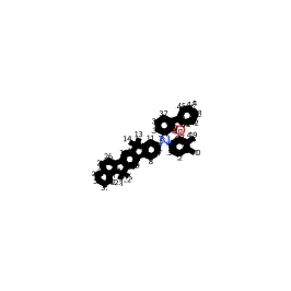 Cc1ccc(N(c2ccc3c(c2)C(C)(C)c2cc4c(cc2-3)C(C)(C)c2c-4ccc3ccccc23)c2cccc3c2oc2ccccc23)cc1C